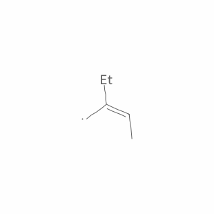 [CH2]C(=CC)CC